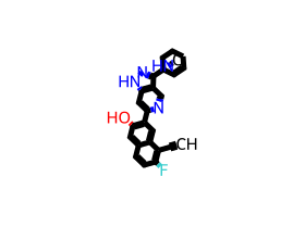 C#Cc1c(F)ccc2cc(O)c(-c3cc4[nH]nc(C56C=CC(CC5)CN6)c4cn3)cc12